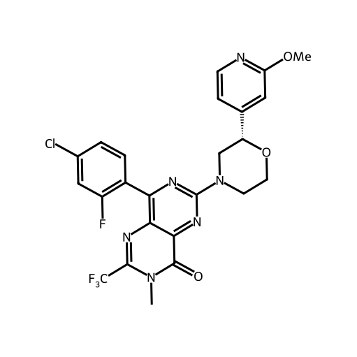 COc1cc([C@H]2CN(c3nc(-c4ccc(Cl)cc4F)c4nc(C(F)(F)F)n(C)c(=O)c4n3)CCO2)ccn1